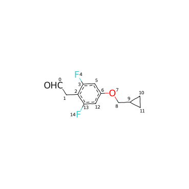 O=CCc1c(F)cc(OCC2CC2)cc1F